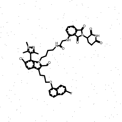 Cc1nn(C)c(C)c1-c1c(Cl)ccc2c(CCCOc3cccc4cc(F)ccc34)c(C=O)n(CCCCNC(=O)CNc3cccc4c3C(=O)N(C3CCC(=O)NC3=O)C4=O)c12